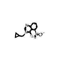 O=c1c2c([N+](=O)[O-])cccc2ncn1CC1CC1